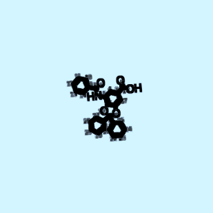 O=C(O)c1cc(NC(=O)c2ccccc2)c2c(c1)OC(c1ccccc1)(c1ccccc1)O2